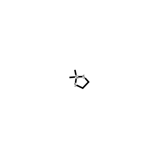 C[Si]1(C)SCCS1